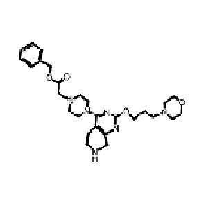 O=C(CN1CCN(c2nc(OCCCN3CCOCC3)nc3c2CCNC3)CC1)OCc1ccccc1